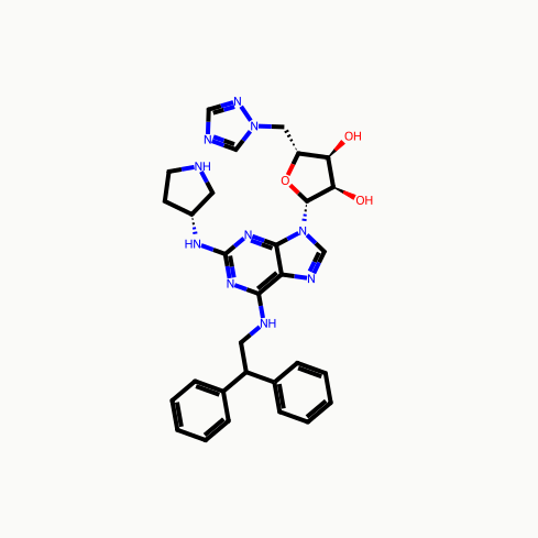 O[C@@H]1[C@H](O)[C@@H](Cn2cncn2)O[C@H]1n1cnc2c(NCC(c3ccccc3)c3ccccc3)nc(N[C@@H]3CCNC3)nc21